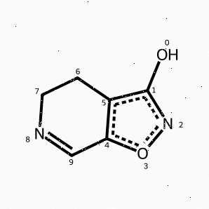 Oc1noc2c1CCN=C2